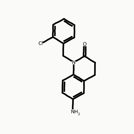 Nc1ccc2c(c1)CCC(=O)N2Cc1ccccc1Cl